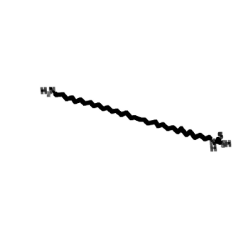 NCCCCCCCCCCCCCCCCCCCCCCCCCCCCCCCCCCNC(=S)S